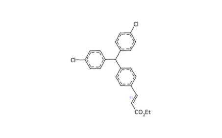 CCOC(=O)/C=C/c1ccc(C(c2ccc(Cl)cc2)c2ccc(Cl)cc2)cc1